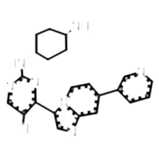 N[C@H]1CC[C@H](Nc2ncc(Cl)c(-c3cnc4cc(-c5cccnc5)ccn34)n2)CC1